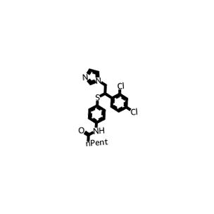 CCCCCC(=O)Nc1ccc(SC(Cn2ccnc2)c2ccc(Cl)cc2Cl)cc1